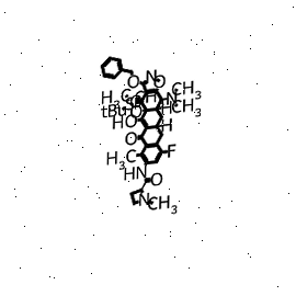 Cc1c(NC(=O)[C@@H]2CCN2C)cc(F)c2c1C(=O)C1=C(O)[C@]3(O[Si](C)(C)C(C)(C)C)C(=O)c4c(OCc5ccccc5)noc4[C@@H](N(C)C)[C@@H]3C[C@@H]1C2